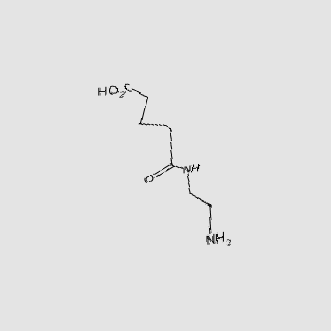 NCCNC(=O)CCCC(=O)O